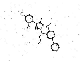 CCCN(c1nc(-c2ccc(OC)cc2Cl)c(C)s1)c1cc(-c2ccccc2)ccc1OC